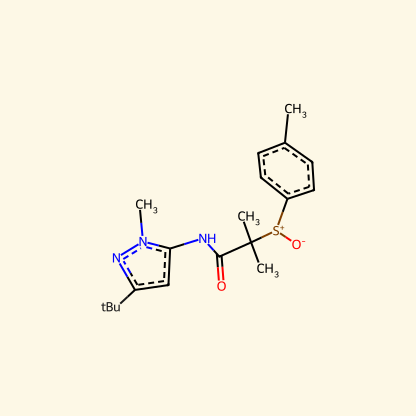 Cc1ccc([S+]([O-])C(C)(C)C(=O)Nc2cc(C(C)(C)C)nn2C)cc1